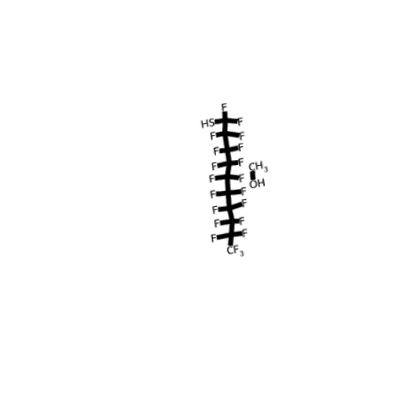 CO.FC(F)(F)C(F)(F)C(F)(F)C(F)(F)C(F)(F)C(F)(F)C(F)(F)C(F)(F)C(F)(F)C(F)(F)S